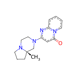 C[C@@]12CCCN1CCN(c1cc(=O)n3ccccc3n1)C2